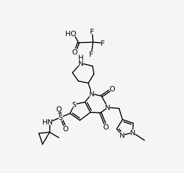 Cn1cc(Cn2c(=O)c3cc(S(=O)(=O)NC4(C)CC4)sc3n(C3CCNCC3)c2=O)cn1.O=C(O)C(F)(F)F